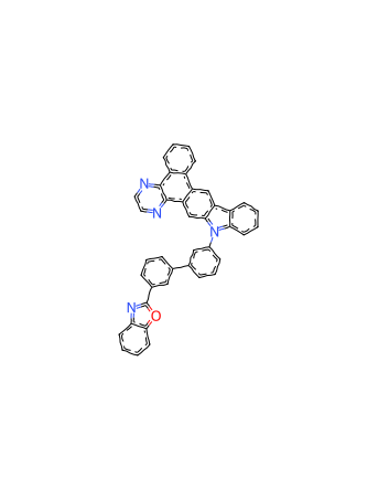 c1cc(-c2cccc(-n3c4ccccc4c4cc5c6ccccc6c6nccnc6c5cc43)c2)cc(-c2nc3ccccc3o2)c1